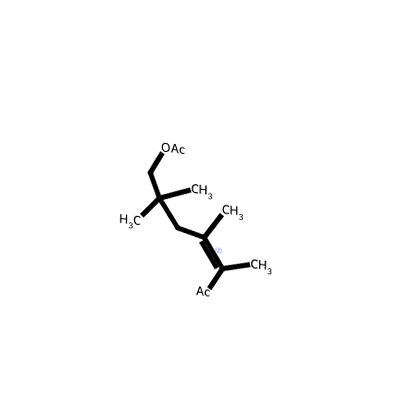 CC(=O)OCC(C)(C)C/C(C)=C(/C)C(C)=O